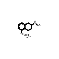 CCCCNC1CCc2c(N)cccc2C1.Cl.Cl